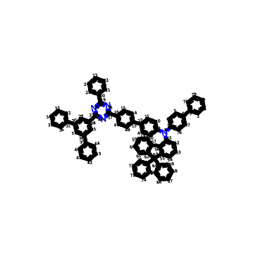 c1ccc(-c2ccc(N(c3ccc(-c4ccc(-c5nc(-c6ccccc6)nc(-c6cc(-c7ccccc7)cc(-c7ccccc7)c6)n5)cc4)cc3)c3cccc4c3-c3ccccc3C4(c3ccccc3)c3ccccc3)cc2)cc1